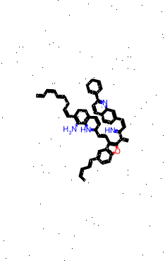 C=C/C=C\C=C\C/C=C\C1=C(N)C2=C(C=CC(/C=C/c3c(C(=C)C(=N)/C=C\C4=CC5N=C(C6=CCCC=C6)C=CC5C=C4)oc4ccc(/C=C/C=C\C)cc34)N2)CC1